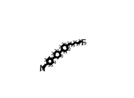 N#Cc1ccc(C2CCC(C3CCC(CCCC=CF)CC3)CC2)cc1